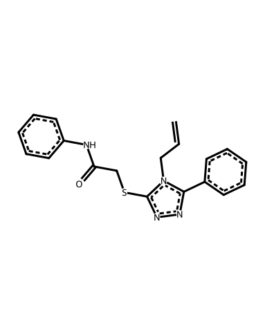 C=CCn1c(SCC(=O)Nc2ccccc2)nnc1-c1ccccc1